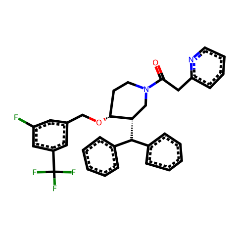 O=C(Cc1ccccn1)N1CC[C@@H](OCc2cc(F)cc(C(F)(F)F)c2)[C@@H](C(c2ccccc2)c2ccccc2)C1